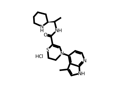 Cc1c[nH]c2nccc(N3C=C(C(=O)NC(C)[C@@H]4CCCCN4)SCC3)c12.Cl